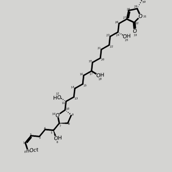 CCCCCCCC/C=C\CC[C@H](O)[C@@H]1CC[C@@H]([C@H](O)CCCCC(O)CCCCC[C@@H](O)CC2=C[C@H](C)OC2=O)O1